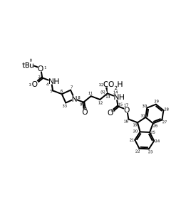 CC(C)(C)OC(=O)NCC1CN(C(=O)CC[C@H](NC(=O)OCC2c3ccccc3-c3ccccc32)C(=O)O)C1